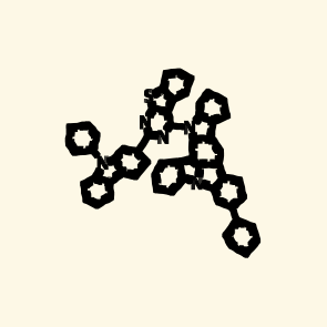 c1ccc(-c2ccc3c4cc5c6ccccc6n(-c6nc(-c7ccc8c9ccccc9n(-c9ccccc9)c8c7)nc7sc8ccccc8c67)c5c5c6ccccc6n(c3c2)c45)cc1